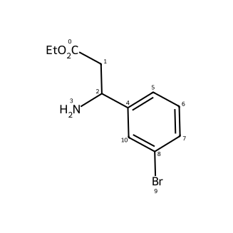 CCOC(=O)CC(N)c1cccc(Br)c1